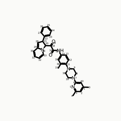 Cc1cc(C)nc(N2CCN(c3ccc(NC(=O)C(=O)C4C(c5ccccc5)C=C5C=CC=CN54)cc3C)CC2)c1